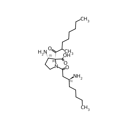 CCCCCCC(C)C(=O)[C@@]1(C(=O)O)[C@@H](N)CCN1C(=O)C[C@@H](N)CCCCC